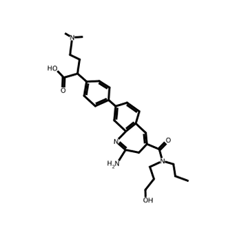 CCCN(CCCO)C(=O)C1=Cc2ccc(-c3ccc(C(CCN(C)C)C(=O)O)cc3)cc2N=C(N)C1